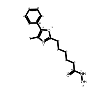 Cc1nc(CCCCCC(=O)NO)oc1-c1ccccc1